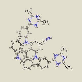 Cc1nc(C)nc(-c2ccc3c4ccccc4n(-c4cc(C#N)cc(-n5c6ccccc6c6ccc(-c7nc(C)nc(C)n7)cc65)c4-c4ccncc4)c3c2)n1